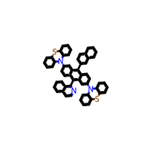 c1ccc2c(c1)Sc1ccccc1N2c1ccc2c(-c3nccc4ccccc34)c3cc(N4c5ccccc5Sc5ccccc54)ccc3c(-c3ccc4ccccc4c3)c2c1